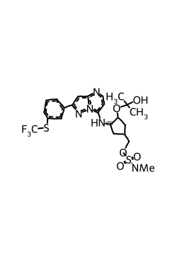 CNS(=O)(=O)OCC1CC(OC(C)(C)O)[C@H](Nc2ccnc3cc(-c4cccc(SC(F)(F)F)c4)nn23)C1